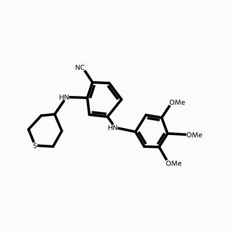 COc1cc(Nc2ccc(C#N)c(NC3CCSCC3)c2)cc(OC)c1OC